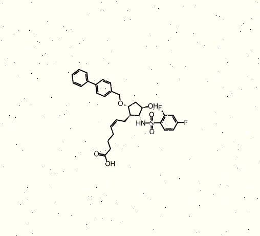 O=C(O)CCC/C=C\C[C@@H]1[C@@H](NS(=O)(=O)c2ccc(F)cc2F)[C@H](O)C[C@H]1OCc1ccc(-c2ccccc2)cc1